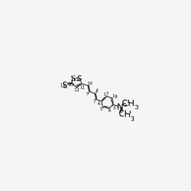 CN(C)c1ccc(C=CC=Cc2cc(=S)ss2)cc1